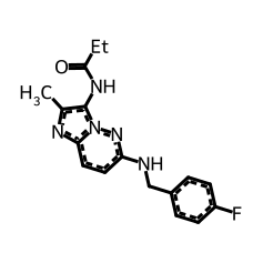 CCC(=O)Nc1c(C)nc2ccc(NCc3ccc(F)cc3)nn12